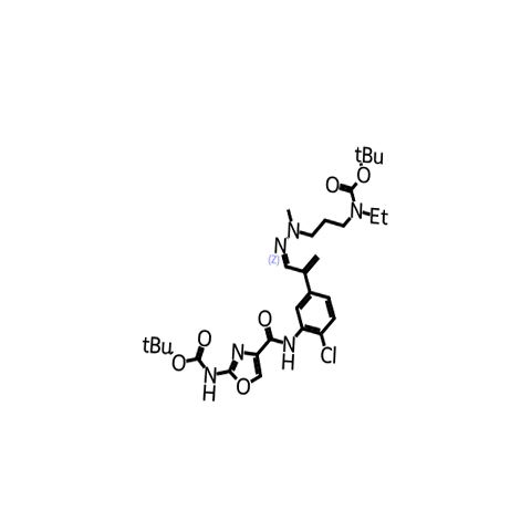 C=C(/C=N\N(C)CCCN(CC)C(=O)OC(C)(C)C)c1ccc(Cl)c(NC(=O)c2coc(NC(=O)OC(C)(C)C)n2)c1